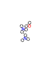 c1ccc(-n2c3ccccc3c3ccc(-c4cccc5c4c4ccccc4n5-c4ccccc4-c4ccc5oc6ccccc6c5c4)cc32)cc1